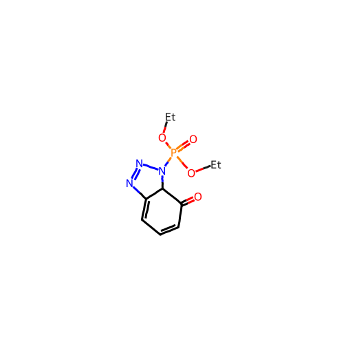 CCOP(=O)(OCC)N1N=NC2=CC=CC(=O)C21